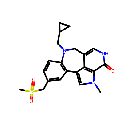 Cn1cc2c3c(c[nH]c(=O)c31)CN(CC1CC1)c1ccc(CS(C)(=O)=O)cc1-2